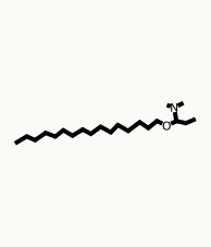 CCCCCCCCCCCCCCCCOC(CC)N(C)C